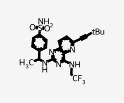 CC(Nc1nc(NCC(F)(F)F)c2nc(C#CC(C)(C)C)ccc2n1)c1ccc(S(N)(=O)=O)cc1